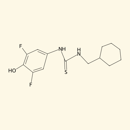 Oc1c(F)cc(NC(=S)NCC2CCCCC2)cc1F